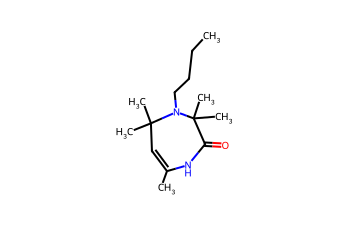 CCCCN1C(C)(C)C=C(C)NC(=O)C1(C)C